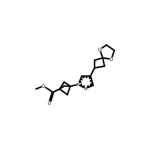 COC(=O)C12CC(n3cc(C4CC5(C4)OCCO5)cn3)(C1)C2